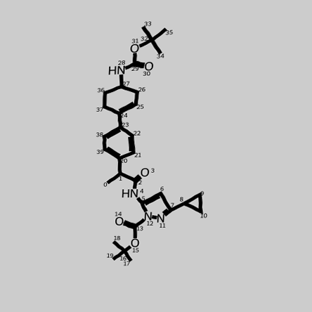 CC(C(=O)Nc1cc(C2CC2)nn1C(=O)OC(C)(C)C)c1ccc(C2=CCC(NC(=O)OC(C)(C)C)CC2)cc1